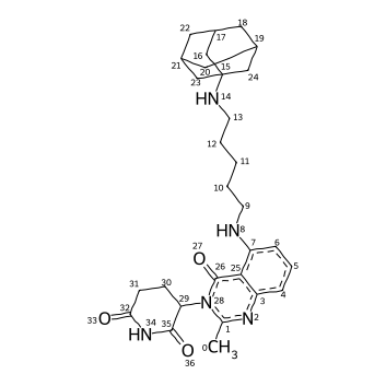 Cc1nc2cccc(NCCCCCNC34CC5CC(CC(C5)C3)C4)c2c(=O)n1C1CCC(=O)NC1=O